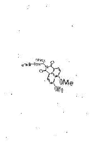 CCCCCCC(CCCCCC)N1C(=O)c2ccc(OC)c3c(OC)ccc(c23)C1=O